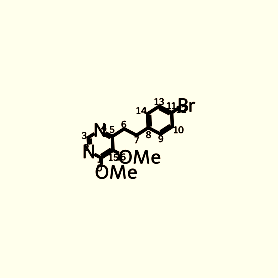 COc1ncnc(CCc2ccc(Br)cc2)c1OC